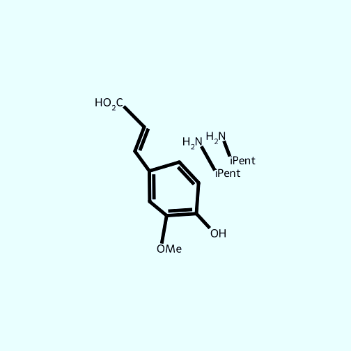 CCCC(C)N.CCCC(C)N.COc1cc(C=CC(=O)O)ccc1O